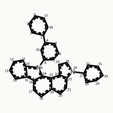 c1ccc(-c2cccc(-n3c4ccccc4c4ccc5ccc6c(ccn6-c6ccccc6)c5c43)c2)cc1